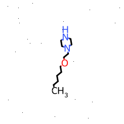 CCCCCCOCCN1CCNCC1